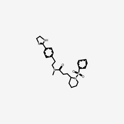 CN(CCc1ccc(C2=NCCN2)cc1)C(=O)CCC1CCCCN1S(=O)(=O)c1ccccc1